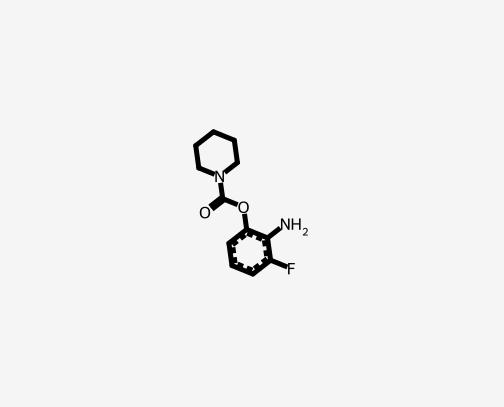 Nc1c(F)cccc1OC(=O)N1CCCCC1